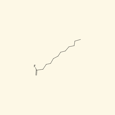 C=C(F)CCCCCCCCCCC